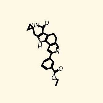 CCOC(=O)c1cccc(-c2cc3c(cn2)CCc2c-3[nH]c3c2C(=O)NC2(CC2)C3)c1